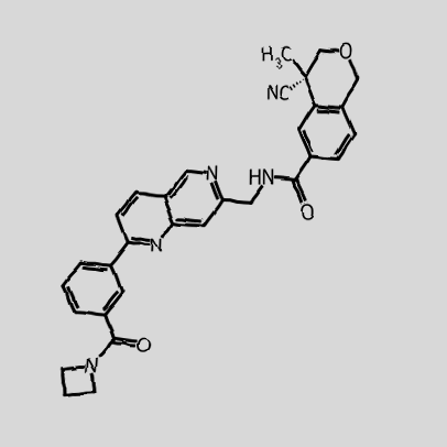 C[C@@]1(C#N)COCc2ccc(C(=O)NCc3cc4nc(-c5cccc(C(=O)N6CCC6)c5)ccc4cn3)cc21